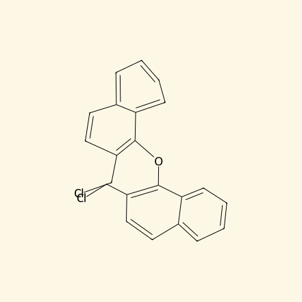 ClCc1ccc2ccccc2c1Oc1c(CCl)ccc2ccccc12